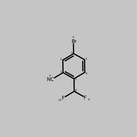 N#Cc1cc(Br)ccc1C(F)F